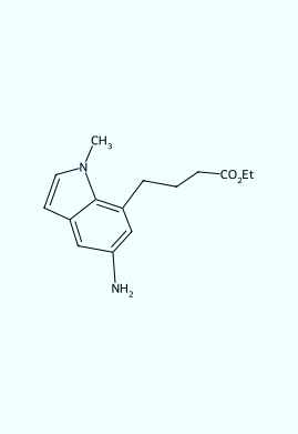 CCOC(=O)CCCc1cc(N)cc2ccn(C)c12